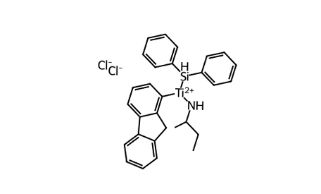 CCC(C)[NH][Ti+2]([c]1cccc2c1Cc1ccccc1-2)[SiH](c1ccccc1)c1ccccc1.[Cl-].[Cl-]